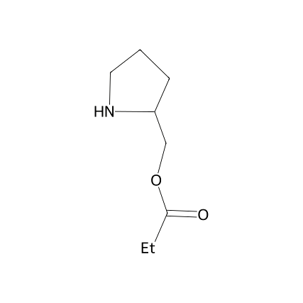 CCC(=O)OCC1CCCN1